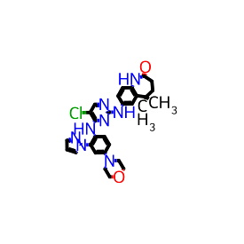 CC1(C)CCC(=O)Nc2ccc(Nc3ncc(Cl)c(Nc4ccc(N5CCOCC5)cc4-n4cccn4)n3)cc21